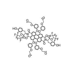 O=C(OC(C(F)(F)F)C(F)(F)F)C(Cc1ccc(O)cc1)N1C(=O)c2cc(Oc3cccc(OCC4CO4)c3)c3c4c(Oc5cccc(OCC6CO6)c5)cc5c6c(cc(Oc7cccc(OCC8CO8)c7)c(c7c(Oc8cccc(OCC9CO9)c8)cc(c2c37)C1=O)c64)C(=O)N(C(Cc1ccc(O)cc1)C(=O)OC(C(F)(F)F)C(F)(F)F)C5=O